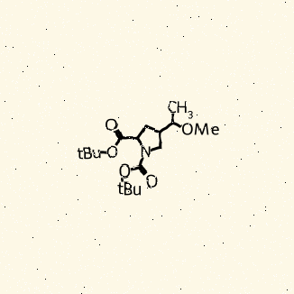 COC(C)C1CC(C(=O)OC(C)(C)C)N(C(=O)OC(C)(C)C)C1